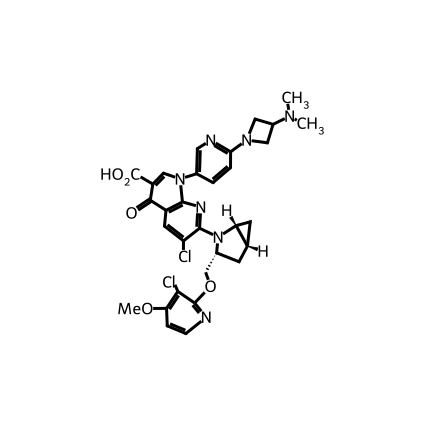 COc1ccnc(OC[C@H]2C[C@H]3C[C@H]3N2c2nc3c(cc2Cl)c(=O)c(C(=O)O)cn3-c2ccc(N3CC(N(C)C)C3)nc2)c1Cl